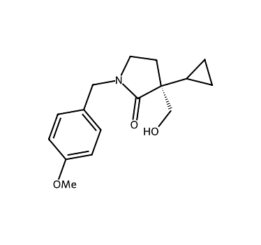 COc1ccc(CN2CC[C@@](CO)(C3CC3)C2=O)cc1